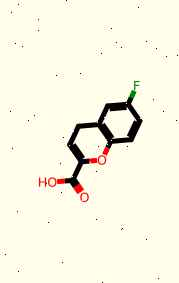 O=C(O)C1=CCc2cc(F)ccc2O1